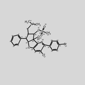 CN(C)CC1C(c2ccccc2)C2Oc3cc(Cl)c(-c4ccc(Br)cc4)nc3C2(O)C1OS(C)(=O)=O